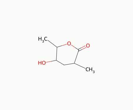 CC1CC(O)C(C)OC1=O